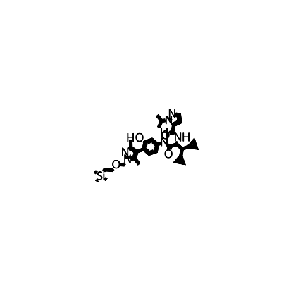 Cc1nn(COCC[Si](C)(C)C)c(C)c1-c1ccc(NC(=O)[C@@H](NC(=O)c2ccnn2C(C)C)C(C2CC2)C2CC2)cc1O